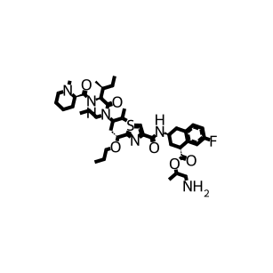 CCCO[C@H](CC(C(C)C)N(CCC)C(=O)[C@@H](NC(=O)[C@H]1CCCCN1C)[C@@H](C)CC)c1nc(C(=O)N[C@H]2Cc3ccc(F)cc3[C@H](C(=O)OC(C)CN)C2)cs1